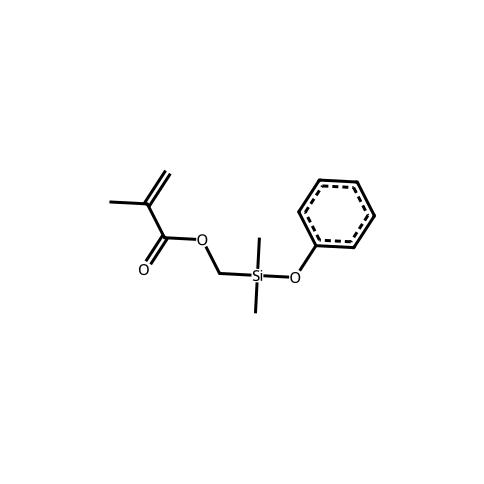 C=C(C)C(=O)OC[Si](C)(C)Oc1ccccc1